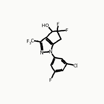 OC1c2c(C(F)(F)F)nn(-c3cc(F)cc(Cl)c3)c2CC1(F)F